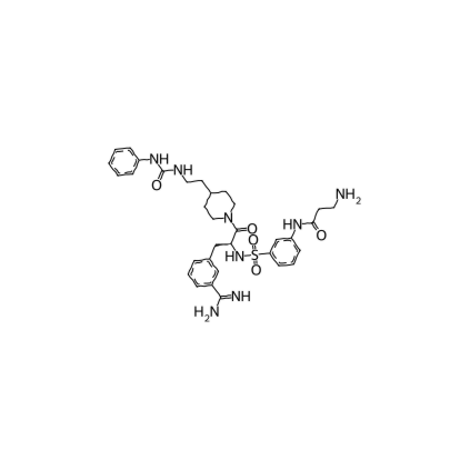 N=C(N)c1cccc(C[C@H](NS(=O)(=O)c2cccc(NC(=O)CCN)c2)C(=O)N2CCC(CCNC(=O)Nc3ccccc3)CC2)c1